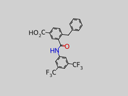 O=C(O)c1ccc(Cc2ccccc2)c(C(=O)Nc2cc(C(F)(F)F)cc(C(F)(F)F)c2)c1